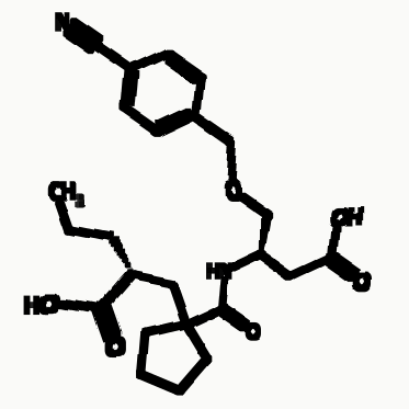 CCC[C@H](CC1(C(=O)N[C@@H](COCc2ccc(C#N)cc2)CC(=O)O)CCCC1)C(=O)O